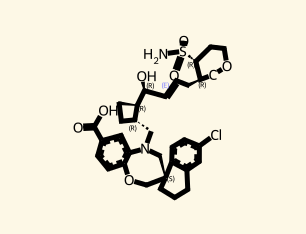 NS(=O)(=O)[C@@H]1CCOC[C@H]1C/C=C/[C@H](O)[C@@H]1CC[C@H]1CN1C[C@@]2(CCCc3cc(Cl)ccc32)COc2ccc(C(=O)O)cc21